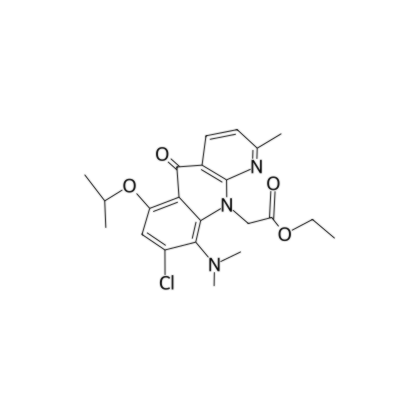 CCOC(=O)Cn1c2nc(C)ccc2c(=O)c2c(OC(C)C)cc(Cl)c(N(C)C)c21